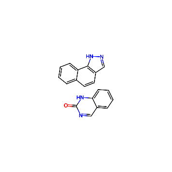 O=c1ncc2ccccc2[nH]1.c1ccc2c(c1)ccc1cn[nH]c12